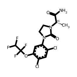 C[C@@H](C(N)=O)N1CCN(c2cc(OC(F)(F)C(F)F)c(Cl)cc2Cl)C1=O